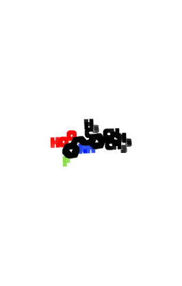 Cc1cc(C(C)(C)C)ccc1-c1cc(=O)c2c(O)cc(F)cc2[nH]1